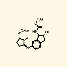 COC[C@H]1CCC(=Nc2ccc3c(c2)C(NC(=O)OC(C)(C)C)[C@H](O)C3)N1C